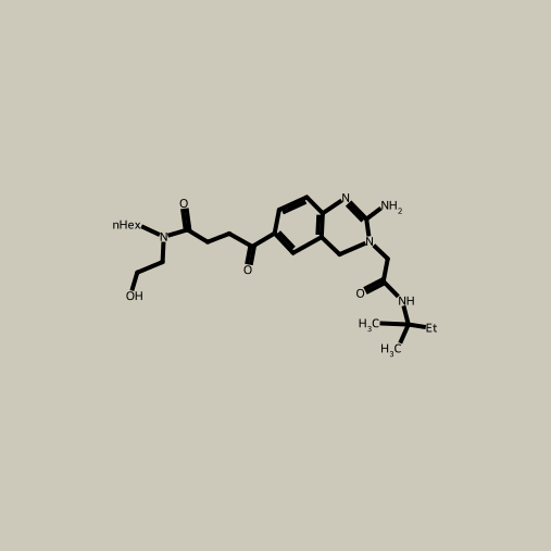 CCCCCCN(CCO)C(=O)CCC(=O)c1ccc2c(c1)CN(CC(=O)NC(C)(C)CC)C(N)=N2